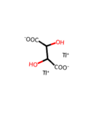 O=C([O-])C(O)C(O)C(=O)[O-].[Tl+].[Tl+]